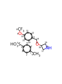 Cc1ccc(S(=O)(=O)O)cc1.FC(F)(F)Oc1ccc(COC2CNC2)cc1